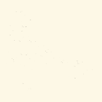 Cc1cccc2cc3cccc(C(=O)NCCCN(CCCNC(=O)c4cccc5cc6cccc(C)c6nc45)C(=O)OCc4ccc([N+](=O)[O-])cc4OCCCO)c3nc12